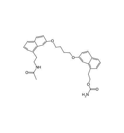 CC(=O)NCCc1cccc2ccc(OCCCCOc3ccc4cccc(CCOC(N)=O)c4c3)cc12